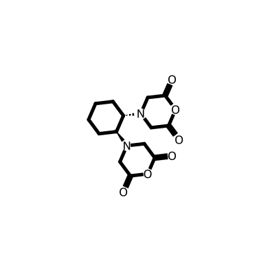 O=C1CN([C@H]2CCCC[C@@H]2N2CC(=O)OC(=O)C2)CC(=O)O1